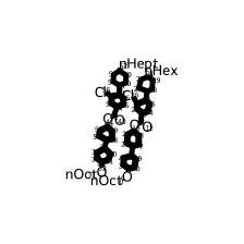 CCCCCCCCOc1ccc(-c2ccc(OC(=O)c3ccc(C4CCC(CCCCCC)CC4)c(Cl)c3)cc2)cc1.CCCCCCCCOc1ccc(-c2ccc(OC(=O)c3ccc(C4CCC(CCCCCCC)CC4)c(Cl)c3)cc2)cc1